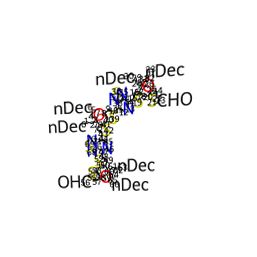 CCCCCCCCCCCCC1(CCCCCCCCCCCC)Oc2cc(-c3cnc(-c4cc5c(s4)-c4sc(C=O)cc4OC5(CCCCCCCCCCCC)CCCCCCCCCCCC)c4nsnc34)sc2-c2sc(-c3cnc(-c4cc5c(s4)-c4sc(C=O)cc4OC5(CCCCCCCCCCCC)CCCCCCCCCCCC)c4nsnc34)cc21